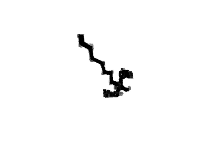 C=CCCCCCC[Si](C)(OC)OC